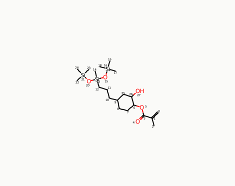 C=C(C)C(=O)OC1CCC(CCC[Si](C)(O[Si](C)(C)C)O[Si](C)(C)C)CC1O